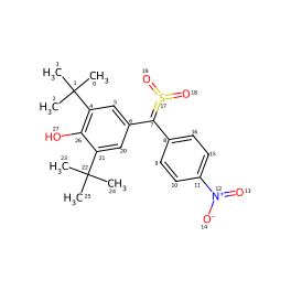 CC(C)(C)c1cc(C(c2ccc([N+](=O)[O-])cc2)=S(=O)=O)cc(C(C)(C)C)c1O